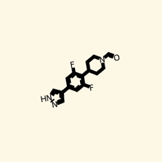 O=CN1CCC(c2c(F)cc(-c3cn[nH]c3)cc2F)CC1